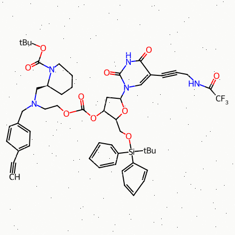 C#Cc1ccc(CN(CCOC(=O)OC2CC(n3cc(C#CCNC(=O)C(F)(F)F)c(=O)[nH]c3=O)OC2CO[Si](c2ccccc2)(c2ccccc2)C(C)(C)C)C[C@@H]2CCCCN2C(=O)OC(C)(C)C)cc1